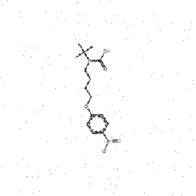 CC(C)(C)N(CCCCOc1ccc([N+](=O)[O-])cc1)C(=O)O